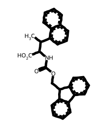 CC(c1cccc2ccccc12)C(NC(=O)OCC1c2ccccc2-c2ccccc21)C(=O)O